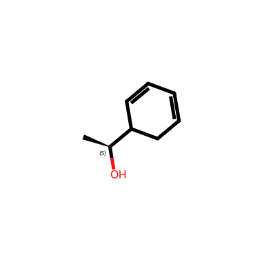 C[C@H](O)C1C=CC=CC1